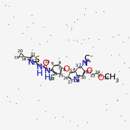 [C-]#[N+]c1cc2c(Oc3ccc(NC(=O)Nc4nc(C5CC5)cs4)c(F)c3)ccnc2cc1OCCOC